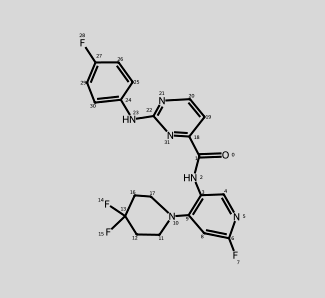 O=C(Nc1cnc(F)cc1N1CCC(F)(F)CC1)c1ccnc(Nc2ccc(F)cc2)n1